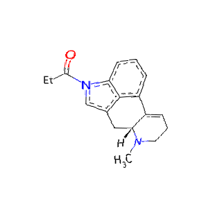 CCC(=O)n1cc2c3c(cccc31)C1=CCCN(C)[C@@H]1C2